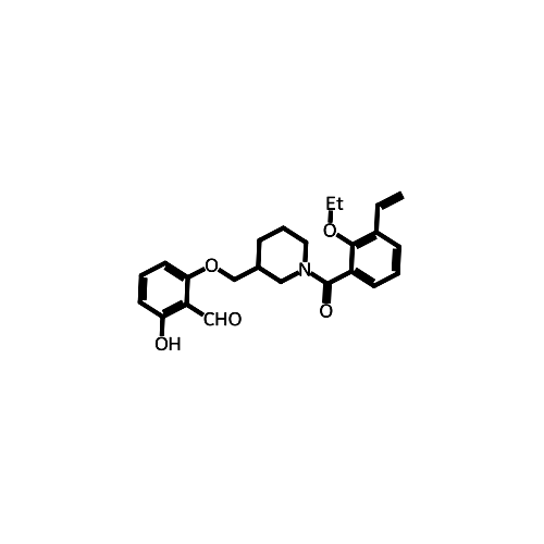 C=Cc1cccc(C(=O)N2CCCC(COc3cccc(O)c3C=O)C2)c1OCC